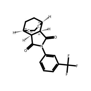 O=C1[C@@H]2[C@H]3CCC[C@H](CC3)[C@@H]2C(=O)N1c1cccc(C(F)(F)F)c1